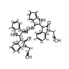 C#CCN1C(=O)C(C2Nc3ccccc3C2=NON=C2c3ccccc3NC2C2C(=O)N(CC#C)c3ccccc32)c2ccccc21